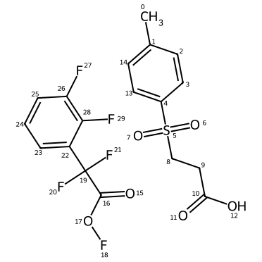 Cc1ccc(S(=O)(=O)CCC(=O)O)cc1.O=C(OF)C(F)(F)c1cccc(F)c1F